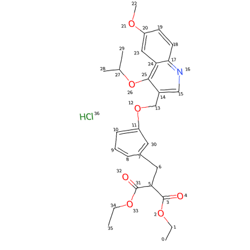 CCOC(=O)C(Cc1cccc(OCc2cnc3ccc(OC)cc3c2OC(C)C)c1)C(=O)OCC.Cl